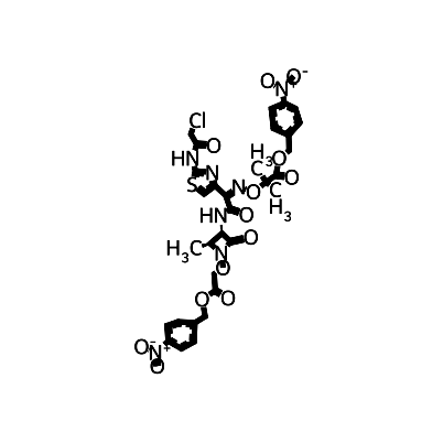 C[C@H]1[C@H](NC(=O)C(=NOC(C)(C)C(=O)OCc2ccc([N+](=O)[O-])cc2)c2csc(NC(=O)CCl)n2)C(=O)N1OCC(=O)OCc1ccc([N+](=O)[O-])cc1